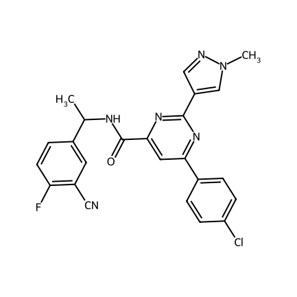 CC(NC(=O)c1cc(-c2ccc(Cl)cc2)nc(-c2cnn(C)c2)n1)c1ccc(F)c(C#N)c1